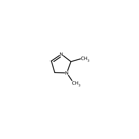 CC1N=[C]CN1C